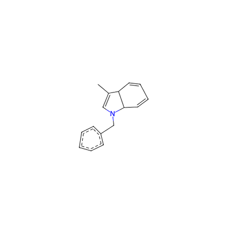 CC1=CN(Cc2ccccc2)C2C=CC=CC12